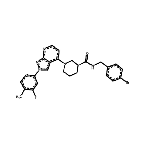 Cc1ccc(-n2cc3c(N4CCC[C@H](C(=O)NCc5ccc(Br)cc5)C4)ncnc3n2)cc1F